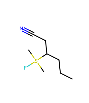 CCCC(CC#N)S(C)(C)F